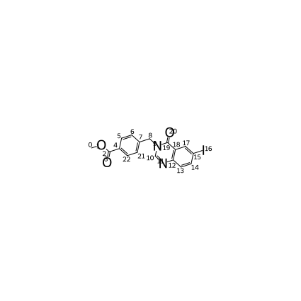 COC(=O)c1ccc(Cn2cnc3ccc(I)cc3c2=O)cc1